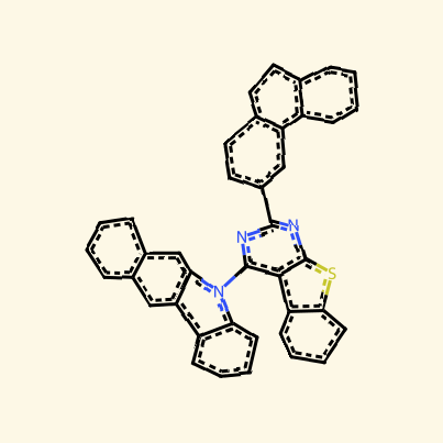 c1ccc2cc3c(cc2c1)c1ccccc1n3-c1nc(-c2ccc3ccc4ccccc4c3c2)nc2sc3ccccc3c12